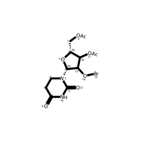 CC(=O)OC[C@H]1O[C@@H](N2CCC(=O)NC2=O)C(OBr)C1OC(C)=O